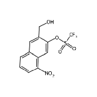 O=[N+]([O-])c1cccc2cc(CO)c(OS(=O)(=O)C(F)(F)F)cc12